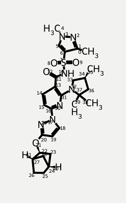 Cc1nn(C)cc1S(=O)(=O)NC(=O)c1ccc(-n2ccc(O[C@H]3C[C@@H]4CC[C@H]3C4)n2)nc1N1C[C@@H](C)CC1(C)C